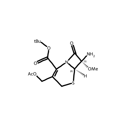 CO[C@@]1(N)C(=O)N2C(C(=O)OC(C)(C)C)=C(COC(C)=O)CS[C@@H]21